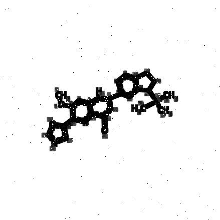 COc1cc2[nH]c(-c3ccc4c(c3)C([N+](C)(C)C)CC4)cc(=O)c2cc1-c1cnco1